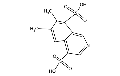 Cc1cc2c(S(=O)(=O)O)cncc2c(S(=O)(=O)O)c1C